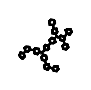 c1ccc(-c2ccc(N(c3ccc(-c4ccc(N(c5ccc(-c6cccc(-c7ccccc7)c6)cc5)c5ccc(-c6cccc(-c7ccccc7)c6)cc5)cc4)cc3)c3cc(-c4ccccc4)cc(-c4ccccc4)c3)cc2)cc1